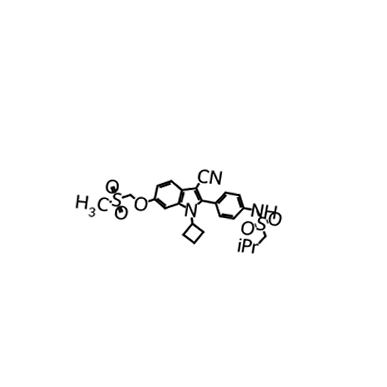 CC(C)CS(=O)(=O)Nc1ccc(-c2c(C#N)c3ccc(OCS(C)(=O)=O)cc3n2C2CCC2)cc1